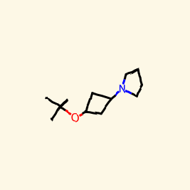 CC(C)(C)OC1CC(N2CCCC2)C1